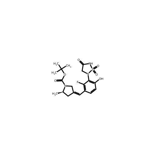 C[C@@H]1CC(=Cc2ccc(O)c(N3CC(=O)NS3(=O)=O)c2F)CN1C(=O)OC(C)(C)C